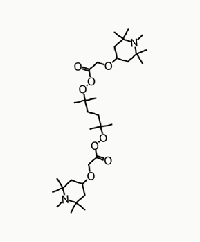 CN1C(C)(C)CC(OCC(=O)OOC(C)(C)CCC(C)(C)OOC(=O)COC2CC(C)(C)N(C)C(C)(C)C2)CC1(C)C